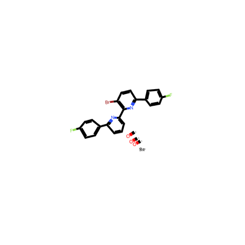 Fc1ccc(-c2cccc(-c3nc(-c4ccc(F)cc4)ccc3Br)n2)cc1.[C]=O.[C]=O.[C]=O.[Re]